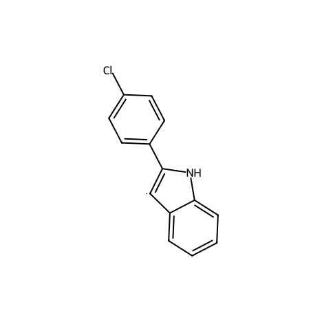 Clc1ccc(-c2[c]c3ccccc3[nH]2)cc1